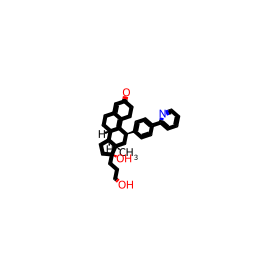 C[C@@]12C[C@H](c3ccc(-c4ccccn4)cc3)C3=C4CCC(=O)C=C4CC[C@H]3[C@@H]1CC[C@@]2(O)CCCO